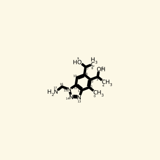 Cc1c(C(C)O)c(C(C)O)cc2c1nnn2CN